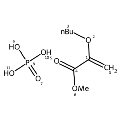 C=C(OCCCC)C(=O)OC.O=P(O)(O)O